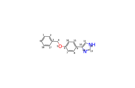 c1ccc(COc2ccc(-c3c[nH]cn3)cc2)cc1